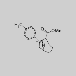 COC(=O)[C@@H]1C2CCC(C[C@@H]1c1ccc(C)cc1)N2N